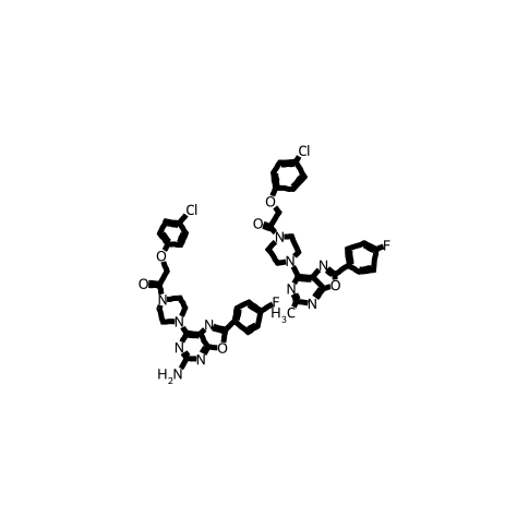 Cc1nc(N2CCN(C(=O)COc3ccc(Cl)cc3)CC2)c2nc(-c3ccc(F)cc3)oc2n1.Nc1nc(N2CCN(C(=O)COc3ccc(Cl)cc3)CC2)c2nc(-c3ccc(F)cc3)oc2n1